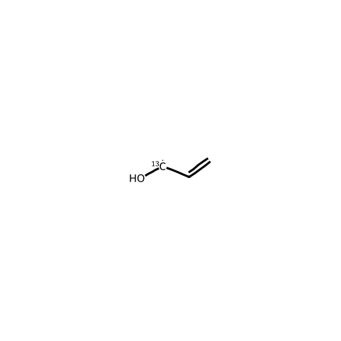 C=C[13CH]O